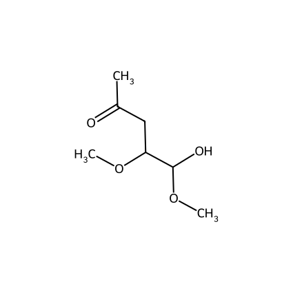 COC(O)C(CC(C)=O)OC